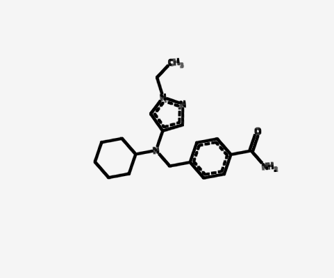 CCn1cc(N(Cc2ccc(C(N)=O)cc2)C2CCCCC2)cn1